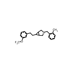 Cc1ccccc1CN1CC2C(C[CH]c3cccc(OC(F)(F)F)c3)C2C1